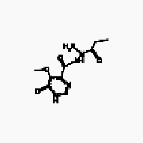 CCC(=O)N(N)NC(=O)c1nc[nH]c(=O)c1OC